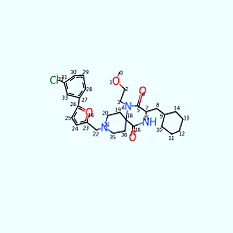 COCCN1C(=O)C(CC2CCCCC2)NC(=O)C12CCN(Cc1ccc(-c3cccc(Cl)c3)o1)CC2